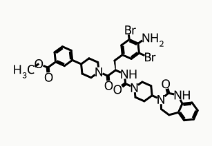 COC(=O)c1cccc(C2CCN(C(=O)[C@@H](Cc3cc(Br)c(N)c(Br)c3)NC(=O)N3CCC(N4CCc5ccccc5NC4=O)CC3)CC2)c1